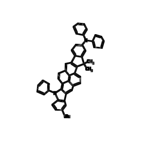 CC(C)(C)c1ccc2c(c1)c1cc3ccc4c5c(cc6ccc(c3c64)c1n2-c1ccccc1)-c1ccc(N(c2ccccc2)c2ccccc2)cc1C5(C)C